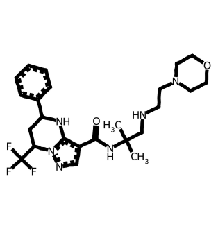 CC(C)(CNCCN1CCOCC1)NC(=O)c1cnn2c1NC(c1ccccc1)CC2C(F)(F)F